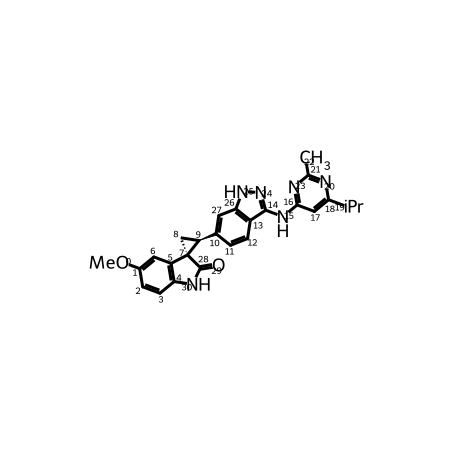 COc1ccc2c(c1)[C@]1(C[C@H]1c1ccc3c(Nc4cc(C(C)C)nc(C)n4)n[nH]c3c1)C(=O)N2